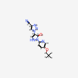 CC(C)(C)COc1ccc(-n2[nH]cc(-n3cc(C#N)nn3)c2=O)nc1